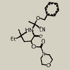 CCC(C)(C)CC(OC(=O)N1CCOCC1)C(=O)NC(C)(C#N)OCc1ccccc1